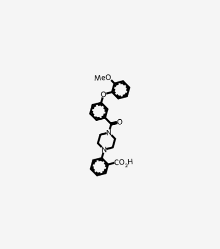 COc1ccccc1Oc1cccc(C(=O)N2CCN(c3ccccc3C(=O)O)CC2)c1